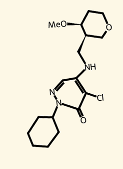 CO[C@H]1CCOC[C@H]1CNc1cnn(C2CCCCC2)c(=O)c1Cl